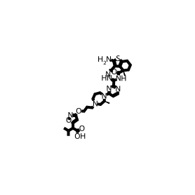 CC(C)C(C(=O)O)c1cc(OCCCN2CCCN(c3ccnc(C(=N)NC(=O)[C@@]4(C)CCCc5sc(N)c(C#N)c54)n3)[C@@H](C)C2)no1